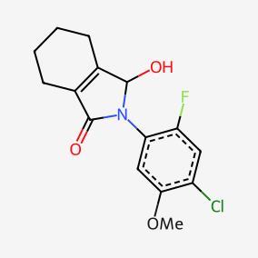 COc1cc(N2C(=O)C3=C(CCCC3)C2O)c(F)cc1Cl